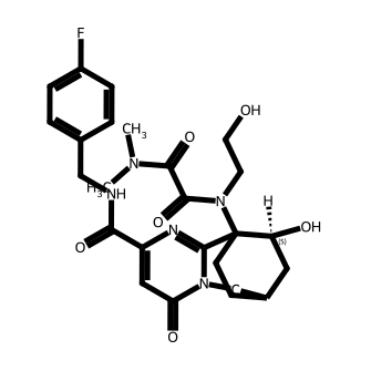 CN(C)C(=O)C(=O)N(CCO)C12CCC(C[C@@H]1O)Cn1c2nc(C(=O)NCc2ccc(F)cc2)cc1=O